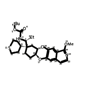 CC[C@@H](NC(=O)OC(C)(C)C)[C@]1(C2CCSCC2)CC[C@H](Oc2cc3ccnc(OC)c3cc2Cl)CC1